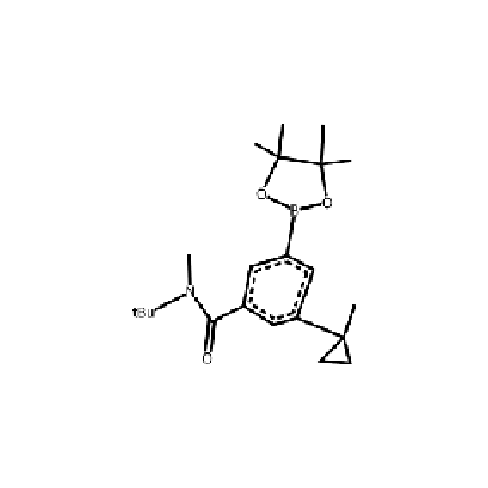 CN(C(=O)c1cc(B2OC(C)(C)C(C)(C)O2)cc(C2(C)CC2)c1)C(C)(C)C